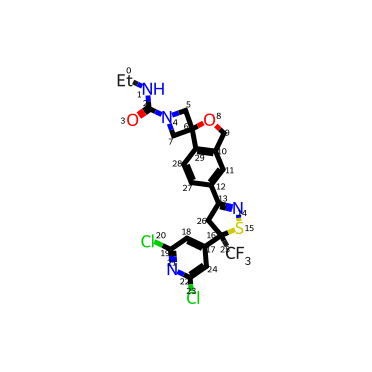 CCNC(=O)N1CC2(C1)OCc1cc(C3=NSC(c4cc(Cl)nc(Cl)c4)(C(F)(F)F)C3)ccc12